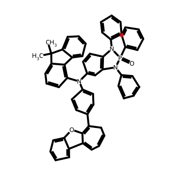 CC1(C)c2ccccc2-c2c(N(c3ccc(C4=c5oc6ccccc6c5=CC=CC4)cc3)c3ccc4c(c3)N(c3ccccc3)P(=O)(c3ccccc3)N4c3ccccc3)cccc21